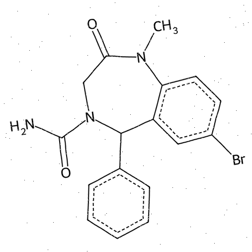 CN1C(=O)CN(C(N)=O)C(c2ccccc2)c2cc(Br)ccc21